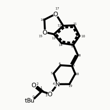 CC(C)(C)C(=O)ON1CCC(=Cc2ccc3c(c2)OCO3)CC1